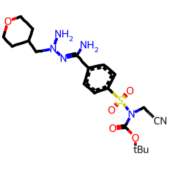 CC(C)(C)OC(=O)N(CC#N)S(=O)(=O)c1ccc(/C(N)=N/N(N)CC2CCOCC2)cc1